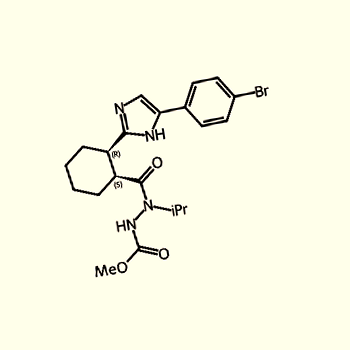 COC(=O)NN(C(=O)[C@H]1CCCC[C@H]1c1ncc(-c2ccc(Br)cc2)[nH]1)C(C)C